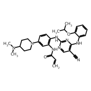 C=CC(=O)Nc1cc(N2CCC(N(C)C)CC2)ccc1Nc1ncc(C#N)c(Nc2ccccc2OC(C)C)n1